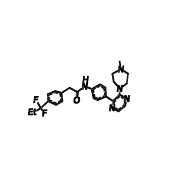 CCC(F)(F)c1ccc(CC(=O)Nc2ccc(-c3nccnc3N3CCN(C)CC3)cc2)cc1